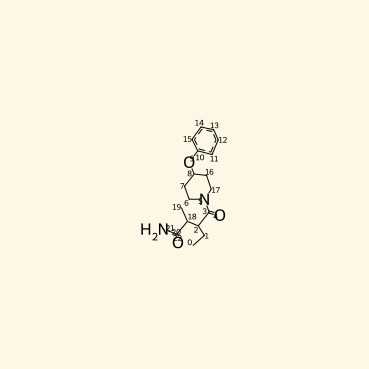 CCC(C(=O)N1CCC(Oc2ccccc2)CC1)C(C)C(N)=O